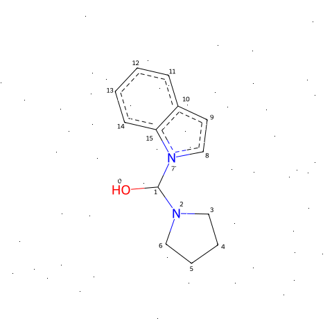 OC(N1CCCC1)n1ccc2ccccc21